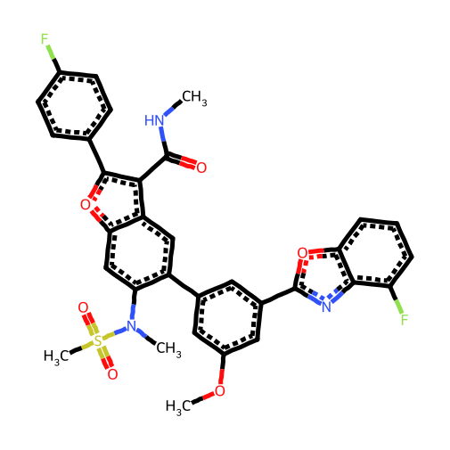 CNC(=O)c1c(-c2ccc(F)cc2)oc2cc(N(C)S(C)(=O)=O)c(-c3cc(OC)cc(-c4nc5c(F)cccc5o4)c3)cc12